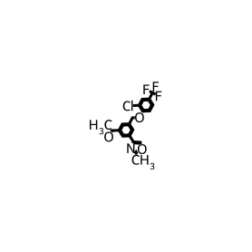 CC(=O)c1cc(COc2ccc(C(F)(F)F)cc2Cl)cc(-c2coc(C)n2)c1